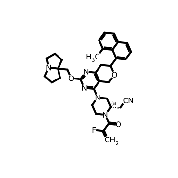 C=C(F)C(=O)N1CCN(c2nc(OCC34CCCN3CCC4)nc3c2COC(c2cccc4cccc(C)c24)C3)C[C@@H]1CC#N